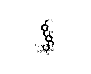 CCc1ccc(Cc2cc3c(cc2C)CO[C@]32O[C@H](C)[C@@H](O)[C@H](O)[C@H]2O)cc1